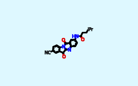 CC(C)CCC(=O)Nc1ccc2nc3n(c(=O)c2c1)-c1ccc(C#N)cc1C3=O